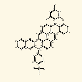 Cc1cc(C)c(B(c2ccccc2)c2ccc3ccc4c(N(c5ccc([Si](C)(C)C)cc5)c5ccc6ccccc6c5)ccc5ccc2c3c54)c(C)c1